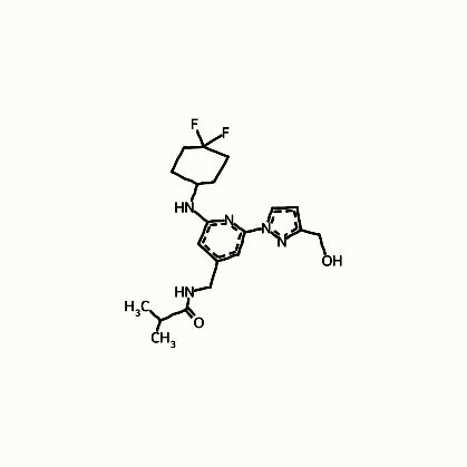 CC(C)C(=O)NCc1cc(NC2CCC(F)(F)CC2)nc(-n2ccc(CO)n2)c1